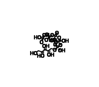 O=P(O)(O)OP(=O)(O)OP(=O)(O)OP(=O)(O)OP(=O)(O)OC[C@H](O)[C@@H](O)[C@H](O)CO